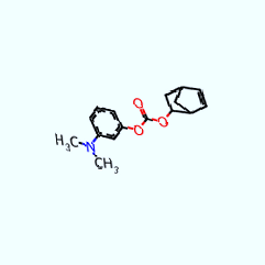 CN(C)c1cccc(OC(=O)OC2CC3C=CC2C3)c1